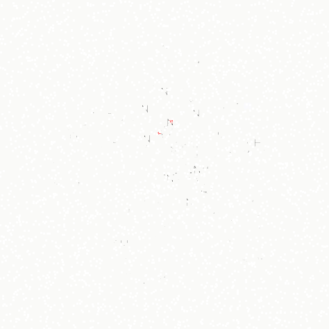 C=C/C=C\c1c(C)n(-c2cccc(-c3nc(-c4ccc5oc6ccccc6c5c4)nc(-c4ccc5oc6ccccc6c5c4)n3)c2)c2c1ccc1c3ccccc3n(-c3nc(-c4ccc5oc6ccccc6c5c4)nc(-c4ccc5oc6ccccc6c5c4)n3)c12